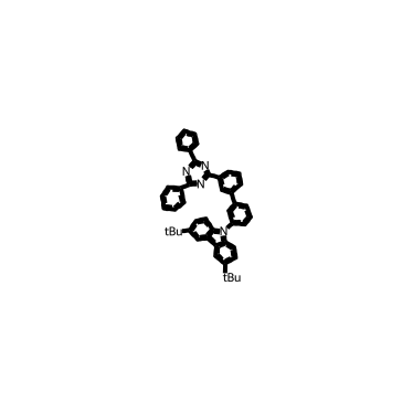 CC(C)(C)c1ccc2c(c1)c1cc(C(C)(C)C)ccc1n2-c1cccc(-c2cccc(-c3nc(-c4ccccc4)nc(-c4ccccc4)n3)c2)c1